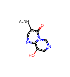 CC(=O)Nc1cnc2c(O)cncn2c1=O